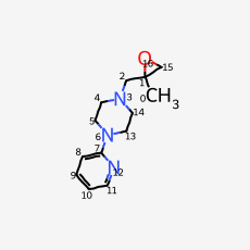 CC1(CN2CCN(c3ccccn3)CC2)CO1